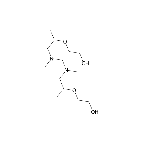 CC(CN(C)CN(C)CC(C)OCCO)OCCO